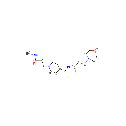 CC(C)NC(=O)CCN1CCC([C@@H](C)NC(=O)CCN2CCOCC2)CC1